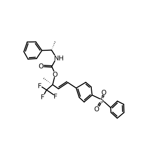 C[C@H](NC(=O)O[C@@](C)(C=Cc1ccc(S(=O)(=O)c2ccccc2)cc1)C(F)(F)F)c1ccccc1